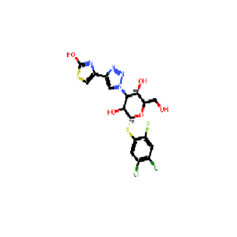 OCC1O[C@H](Sc2cc(Cl)c(Cl)cc2F)C(O)C(n2cc(-c3csc(O)n3)nn2)[C@H]1O